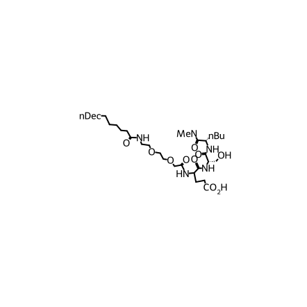 CCCCCCCCCCCCCCCC(=O)NCCOCCOCC(=O)NC(CCC(=O)O)C(=O)N[C@@H](CO)C(=O)N[C@@H](CCCC)C(=O)NC